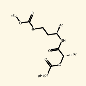 CCCCCCCC(=O)O[C@@H](CCC)C(=O)N[C@@H](CCNC(=O)OC(C)(C)C)C(C)=O